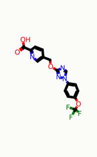 O=C(O)c1ccc(COc2ncn(-c3ccc(OC(F)(F)F)cc3)n2)cn1